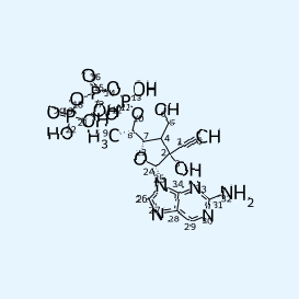 C#CC1(O)C(CO)[C@@H]([C@H](C)OP(=O)(O)OP(=O)(O)OP(=O)(O)O)O[C@H]1n1cnc2cnc(N)nc21